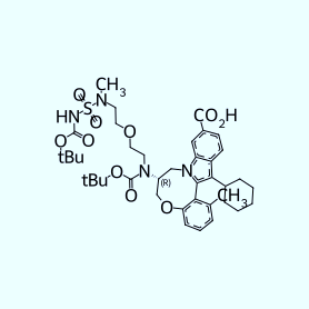 Cc1cccc2c1-c1c(C3CCCCC3)c3ccc(C(=O)O)cc3n1C[C@@H](N(CCOCCN(C)S(=O)(=O)NC(=O)OC(C)(C)C)C(=O)OC(C)(C)C)CO2